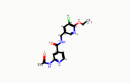 CCC(=O)Nc1cc(C(=O)NCc2cnc(OCC(F)(F)F)c(Cl)c2)ccn1